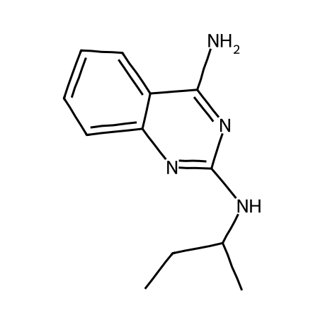 CCC(C)Nc1nc(N)c2ccccc2n1